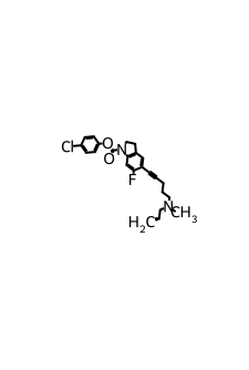 C=CCN(C)CCCC#Cc1cc2c(cc1F)N(C(=O)Oc1ccc(Cl)cc1)CC2